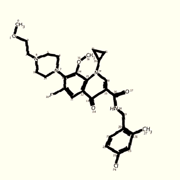 COCCN1CCN(c2c(F)cc3c(=O)c(C(=O)NCc4ccc(Cl)cc4C)cn(C4CC4)c3c2OC)CC1